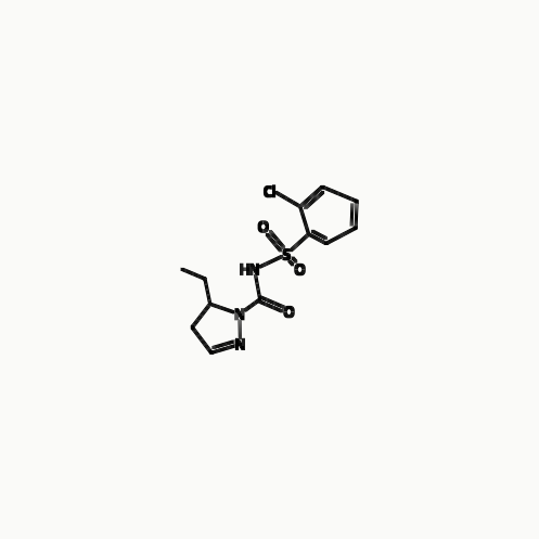 CCC1CC=NN1C(=O)NS(=O)(=O)c1ccccc1Cl